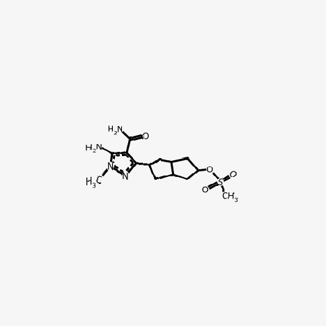 Cn1nc(C2CC3CC(OS(C)(=O)=O)CC3C2)c(C(N)=O)c1N